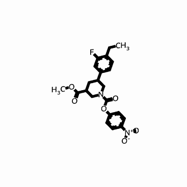 CCc1ccc(C2CC(C(=O)OC)CN(C(=O)Oc3ccc([N+](=O)[O-])cc3)C2)cc1F